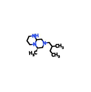 CCC(C)CN1CC2NCCCN2[C@@H](C)C1